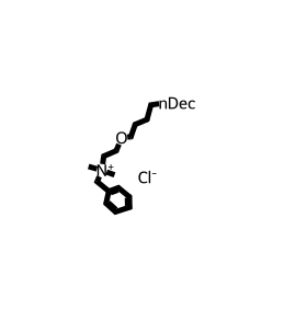 CCCCCCCCCCCCCCOCC[N+](C)(C)Cc1ccccc1.[Cl-]